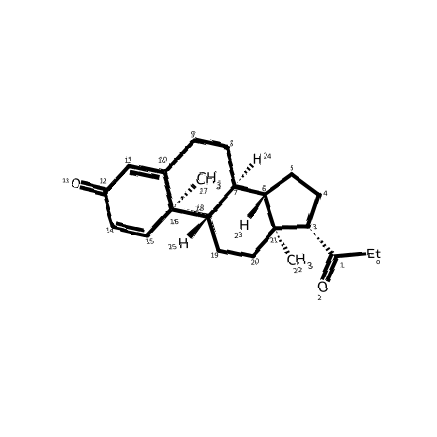 CCC(=O)[C@H]1CC[C@H]2[C@@H]3CCC4=CC(=O)C=C[C@]4(C)[C@H]3CC[C@]12C